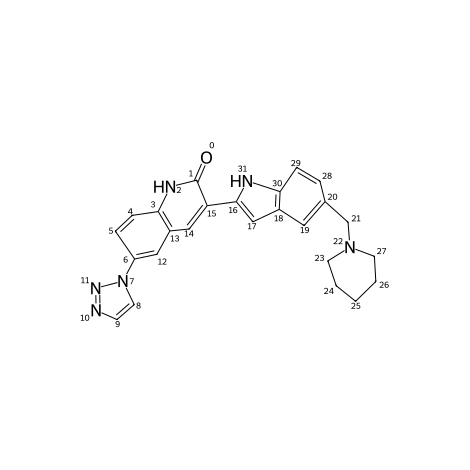 O=c1[nH]c2ccc(-n3ccnn3)cc2cc1-c1cc2cc(CN3CCCCC3)ccc2[nH]1